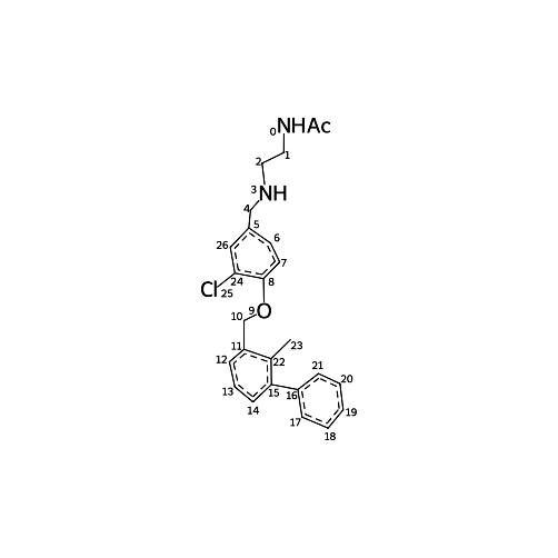 CC(=O)NCCNCc1ccc(OCc2cccc(-c3ccccc3)c2C)c(Cl)c1